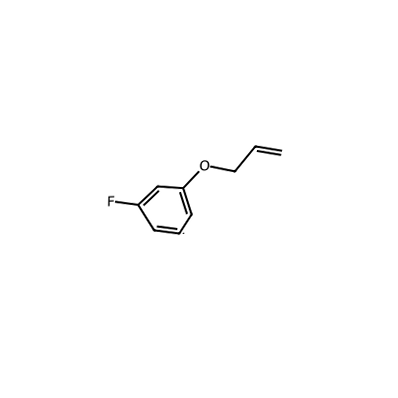 C=CCOc1c[c]cc(F)c1